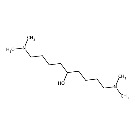 CN(C)CCCCC(O)CCCCN(C)C